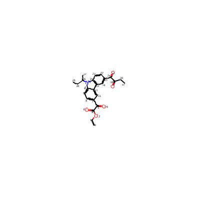 CCOC(=O)C(=O)c1ccc2c(c1)c1cc(C(=O)C(=O)CC)ccc1n2C(C)CC